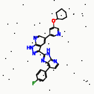 Fc1ccc(-c2ccnc3[nH]c(-c4n[nH]c5ncc(-c6cncc(OC7CCCCC7)c6)cc45)nc23)cc1